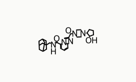 O=C(NCC12CC3CC(CC(C3)C1)C2)c1cccc2nc(C(=O)N3CCN([C@@H]4CCC[C@H]4O)CC3)cn12